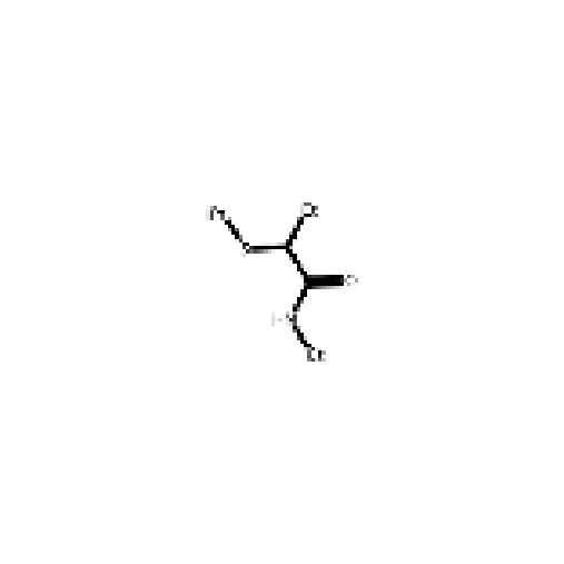 CCNC(=O)C(CC)SC(C)C